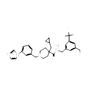 O=C(NCc1cc(CF)cc(C(F)(F)F)c1)C1(CC2CC2)CCN(Cc2cccc(-n3ccnc3)c2)CC1